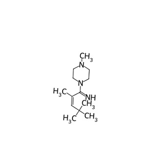 C/C(=C/C(C)(C)C)C(=N)N1CCN(C)CC1